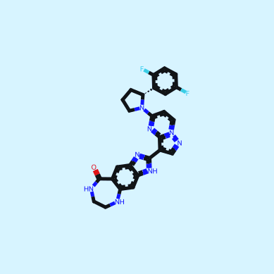 O=C1NCCNc2cc3[nH]c(-c4cnn5ccc(N6CCC[C@@H]6c6cc(F)ccc6F)nc45)nc3cc21